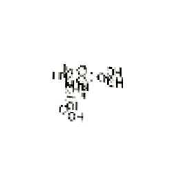 C.CC(C)C.CC(C)C.Nc1ccn[nH]1.O=C(O)O.O=C(O)O.c1ccc2cnccc2c1